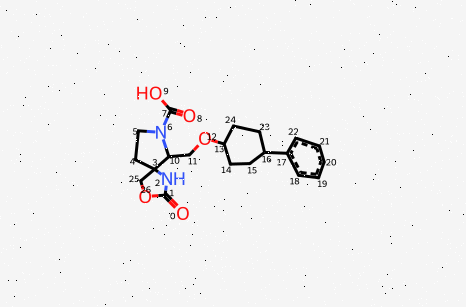 O=C1NC2(CCN(C(=O)O)C2COC2CCC(c3ccccc3)CC2)CO1